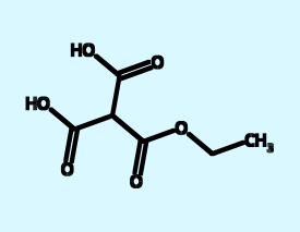 CCOC(=O)C(C(=O)O)C(=O)O